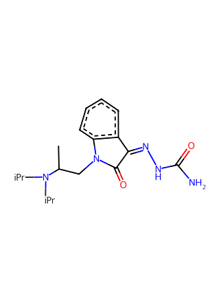 CC(C)N(C(C)C)C(C)CN1C(=O)C(=NNC(N)=O)c2ccccc21